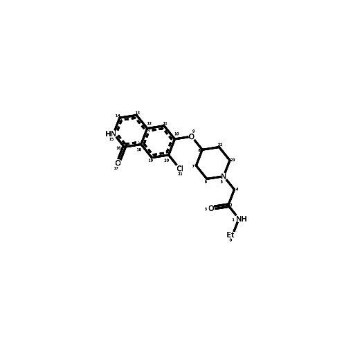 CCNC(=O)CN1CCC(Oc2cc3cc[nH]c(=O)c3cc2Cl)CC1